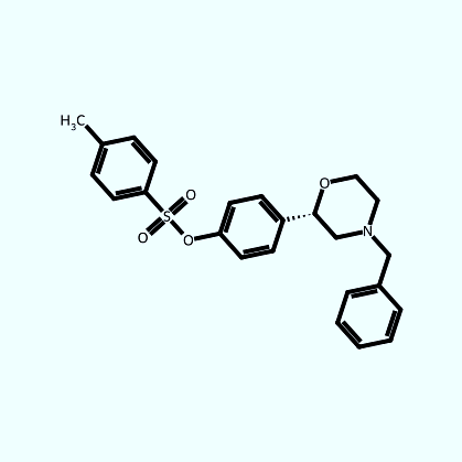 Cc1ccc(S(=O)(=O)Oc2ccc([C@H]3CN(Cc4ccccc4)CCO3)cc2)cc1